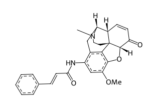 COc1cc(NC(=O)C=Cc2ccccc2)c2c3c1O[C@H]1C(=O)C=C[C@H]4[C@@H](C2)N(C)CC[C@]314